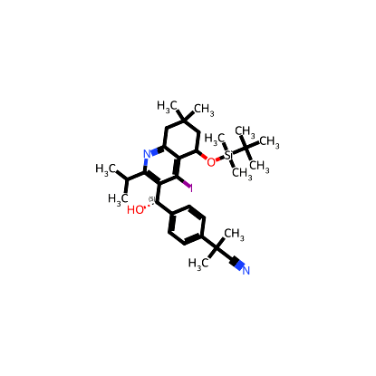 CC(C)c1nc2c(c(I)c1[C@@H](O)c1ccc(C(C)(C)C#N)cc1)C(O[Si](C)(C)C(C)(C)C)CC(C)(C)C2